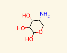 N[C@@H]1COC(O)[C@@H](O)[C@@H]1O